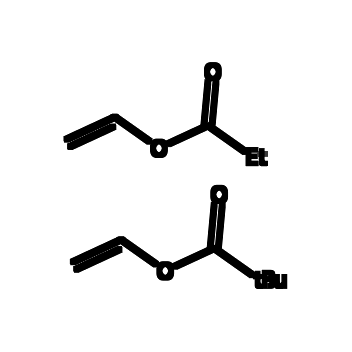 C=COC(=O)C(C)(C)C.C=COC(=O)CC